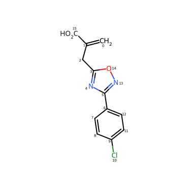 C=C(Cc1nc(-c2ccc(Cl)cc2)no1)C(=O)O